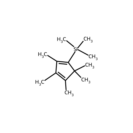 CC1=C(C)C(C)(C)C([Si](C)(C)C)=C1C